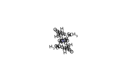 CN(C)CCCNS(=O)(=O)c1cc(Nc2nc(Nc3ccccc3)nc(N3CCOCC3)n2)ccc1/C=C/c1ccc(Nc2nc(Nc3ccccc3)nc(N3CCOCC3)n2)cc1S(=O)(=O)NCCC[N+](C)(C)C